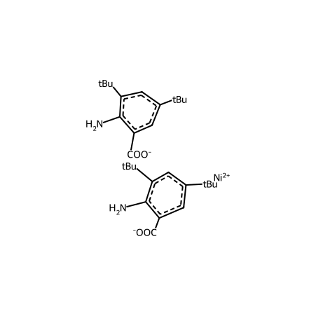 CC(C)(C)c1cc(C(=O)[O-])c(N)c(C(C)(C)C)c1.CC(C)(C)c1cc(C(=O)[O-])c(N)c(C(C)(C)C)c1.[Ni+2]